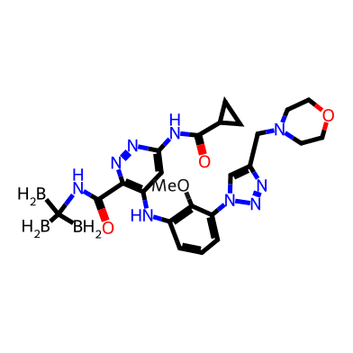 BC(B)(B)NC(=O)c1nnc(NC(=O)C2CC2)cc1Nc1cccc(-n2cc(CN3CCOCC3)nn2)c1OC